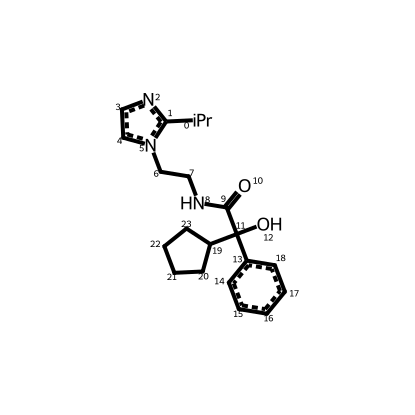 CC(C)c1nccn1CCNC(=O)C(O)(c1ccccc1)C1CCCC1